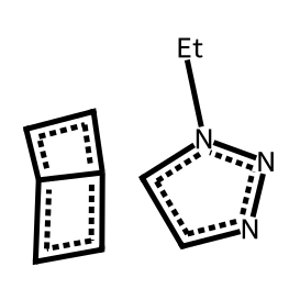 CCn1ccnn1.c1cc2ccc1-2